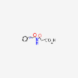 O=C(O)CCC(=O)NC(=O)/C=C/c1ccccc1